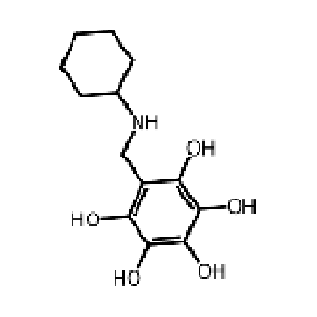 Oc1c(O)c(O)c(CNC2CCCCC2)c(O)c1O